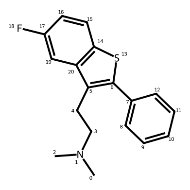 CN(C)CCc1c(-c2ccccc2)sc2ccc(F)cc12